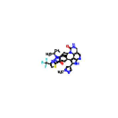 CC(C)n1ncc2cc(-c3c(-c4cnn(C)c4)[nH]c4ncc5c(c34)N(C3CC(NC(=O)c4nc(C(F)(F)F)cs4)C3)C(=O)NC5)ccc21